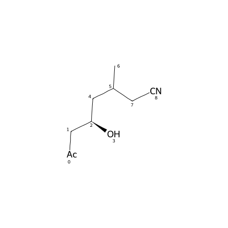 CC(=O)C[C@H](O)CC(C)CC#N